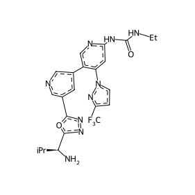 CCNC(=O)Nc1cc(-n2ccc(C(F)(F)F)n2)c(-c2cncc(-c3nnc([C@@H](N)C(C)C)o3)c2)cn1